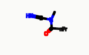 CCCC(=O)N(C)B=N